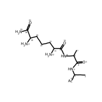 CC(=O)C(C)NC(=O)C(C)NC(=O)C(N)CCCC(N)C(N)=O